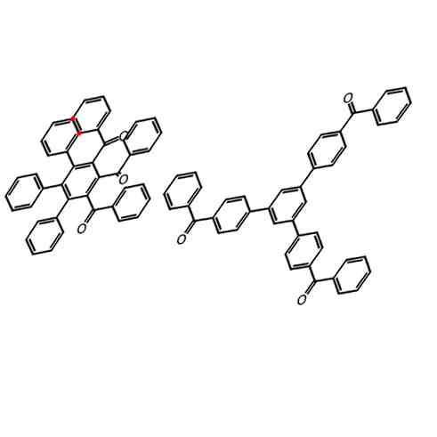 O=C(c1ccccc1)c1c(C(=O)c2ccccc2)c(-c2ccccc2)c(-c2ccccc2)c(-c2ccccc2)c1C(=O)c1ccccc1.O=C(c1ccccc1)c1ccc(-c2cc(-c3ccc(C(=O)c4ccccc4)cc3)cc(-c3ccc(C(=O)c4ccccc4)cc3)c2)cc1